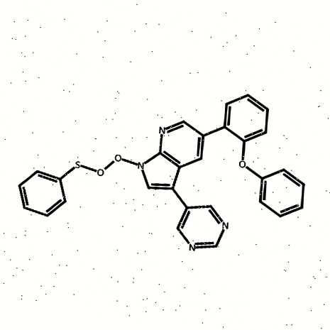 c1ccc(Oc2ccccc2-c2cnc3c(c2)c(-c2cncnc2)cn3OOSc2ccccc2)cc1